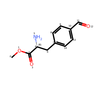 COC(=O)[C@H](N)Cc1ccc(C=O)cc1